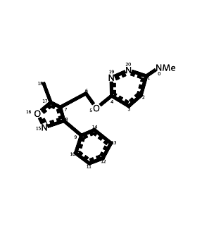 CNc1ccc(OCc2c(-c3ccccc3)noc2C)nn1